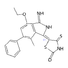 CCOc1cc(-c2ccccc2)c(C)c2c1C(=N)N/C2=C1/SC(=O)NC1=S